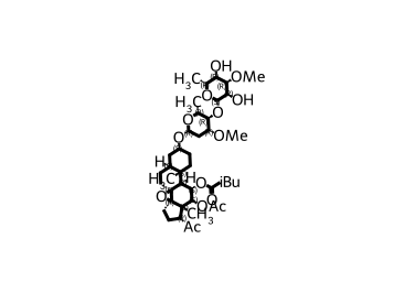 CCC(C)C(=O)O[C@@H]1[C@@H](OC(C)=O)[C@]2(C)[C@H](C(C)=O)CC[C@@]23O[C@]32CC[C@H]3C[C@@H](O[C@H]4C[C@@H](OC)[C@H](O[C@@H]5O[C@H](C)[C@@H](O)[C@@H](OC)[C@H]5O)[C@@H](C)O4)CC[C@]3(C)[C@@H]12